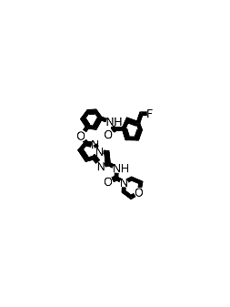 O=C(Nc1cccc(Oc2ccc3nc(NC(=O)N4CCOCC4)cn3n2)c1)c1cccc(CF)c1